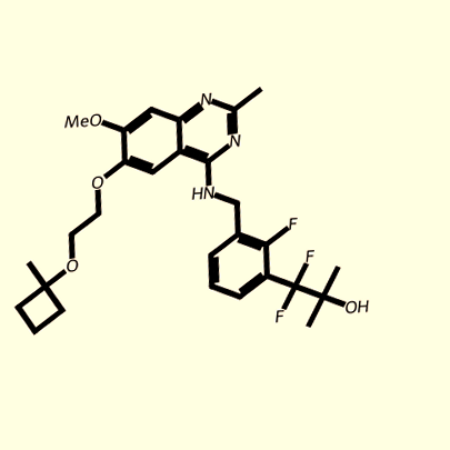 COc1cc2nc(C)nc(NCc3cccc(C(F)(F)C(C)(C)O)c3F)c2cc1OCCOC1(C)CCC1